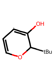 CC(C)(C)C1OC=C[C]=C1O